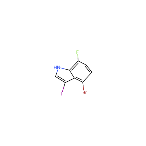 Fc1ccc(Br)c2c(I)c[nH]c12